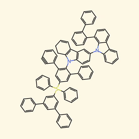 c1cccc(-c2cc(S(c3ccccc3)(c3ccccc3)c3cc(-c4ccccc4)cc(-c4ccccc4)c3)cc(-c3ccccc3)c2-n2c3c(c4cc(-n5c6ccccc6c6cccc(-c7ccccc7-c7ccccc7)c65)ccc42)C=CCC3)c#1